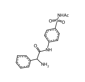 CC(=O)NS(=O)(=O)c1ccc(NC(=O)C(N)c2ccccc2)cc1